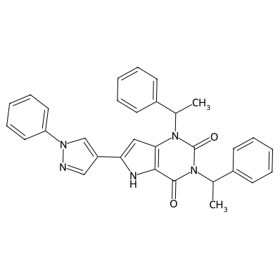 CC(c1ccccc1)n1c(=O)c2[nH]c(-c3cnn(-c4ccccc4)c3)cc2n(C(C)c2ccccc2)c1=O